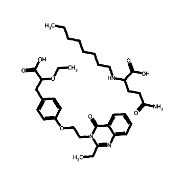 CCCCCCCCNC(CCC(N)=O)C(=O)O.CCOC(Cc1ccc(OCCn2c(CC)nc3ccccc3c2=O)cc1)C(=O)O